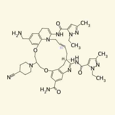 CCn1nc(C)cc1C(=O)NC1=CCc2cc(CN)cc3c2N1C/C=C/C[C@@H]1Cc2c(cc(C(N)=O)cc2OCC(N2CCC(C#N)CC2)CO3)N=C1NC(=O)c1cc(C)nn1CC